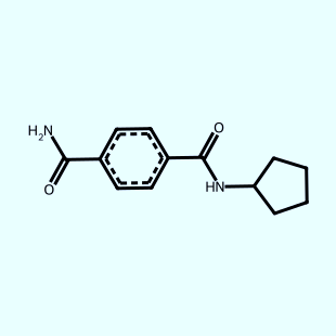 NC(=O)c1ccc(C(=O)NC2CCCC2)cc1